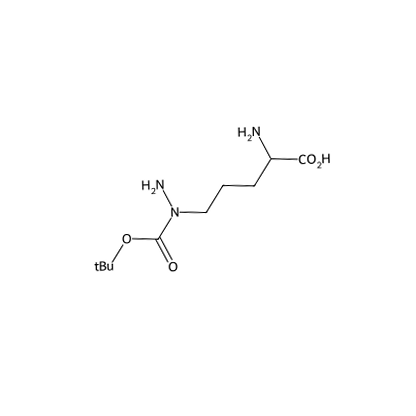 CC(C)(C)OC(=O)N(N)CCCC(N)C(=O)O